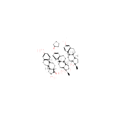 C#C[C@]1(O)CC[C@H]2[C@@H]3CCc4cc(OC)ccc4[C@H]3CC[C@@]21C.C#C[C@]1(O)CC[C@H]2[C@@H]3CCc4cc(OC5CCCC5)ccc4[C@H]3CC[C@@]21C.C[C@]12CC[C@@H]3c4ccc(O)cc4CC[C@H]3[C@@H]1C[C@@H](O)[C@@H]2O